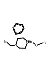 BrCN1CCNCC1.CC(C)(C)OC=O.c1ccncc1